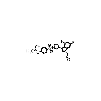 CC(C)Oc1ccc(S(=O)(=O)N2CCC(c3cn(CC=O)c4cc(F)cc(F)c34)C2)cc1